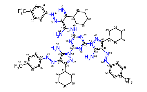 N=C(C(/N=N/c1ccc(C(F)(F)F)cc1)=C(/N)Nc1nc(-n2nc(C3CCCCC3)c(/N=N/c3ccc(C(F)(F)F)cc3)c2N)nc(-n2nc(C3CCCCC3)c(/N=N/c3ccc(C(F)(F)F)cc3)c2N)n1)C1CCCCC1